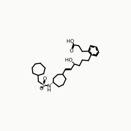 O=C(O)CCc1ccccc1CCC[C@H](O)/C=C/C1CCC[C@H](NS(=O)(=O)CC2CCCCCC2)CC1